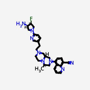 C[C@@H]1CN(c2ccc(C#N)c3ncccc23)C[C@@H]2CN(CCc3ccc(N4C[C@@H](N)[C@@H](F)C4)nc3)CCN21